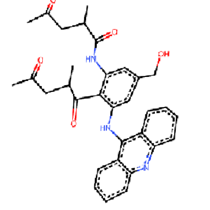 CC(=O)CC(C)C(=O)Nc1cc(CO)cc(Nc2c3ccccc3nc3ccccc23)c1C(=O)C(C)CC(C)=O